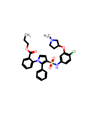 CCCOC(=O)c1ccccc1-n1ccc(S(=O)(=O)Nc2ccc(Cl)c(OC3CCN(C)C3)c2)c1-c1ccccc1